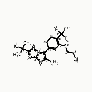 Cc1nc2sc(C(C)(C)O)nn2c1C1=CC(SCCO)=C(C(F)(F)F)CC1